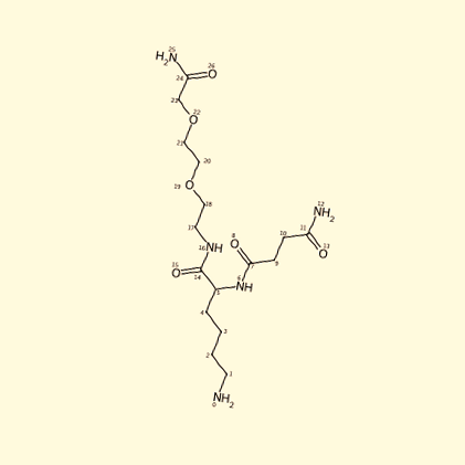 NCCCCC(NC(=O)CCC(N)=O)C(=O)NCCOCCOCC(N)=O